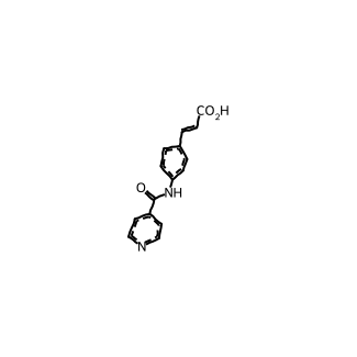 O=C(O)C=Cc1ccc(NC(=O)c2ccncc2)cc1